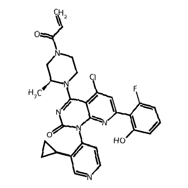 C=CC(=O)N1CCN(c2nc(=O)n(-c3ccncc3C3CC3)c3nc(-c4c(O)cccc4F)cc(Cl)c23)[C@@H](C)C1